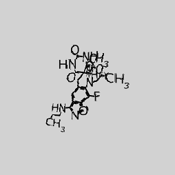 CCCNc1noc2c(F)c3c(cc12)CC1(C(=O)NC(=O)NC1=O)[C@@H]1[C@@H](C)O[C@@H](C)CN31